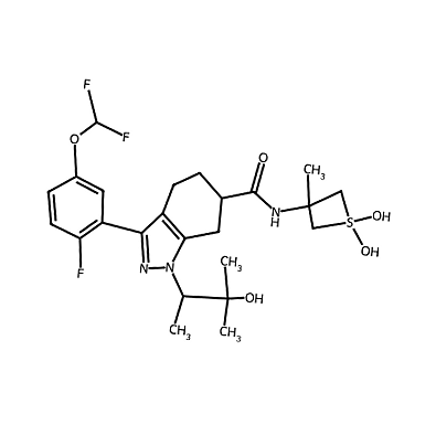 CC(n1nc(-c2cc(OC(F)F)ccc2F)c2c1CC(C(=O)NC1(C)CS(O)(O)C1)CC2)C(C)(C)O